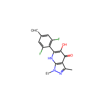 CCn1nc(C)c2c(=O)c(O)c(-c3c(F)cc(C=O)cc3F)[nH]c21